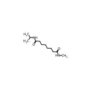 CNC(=O)CCCCCCC(=O)NC(C)C